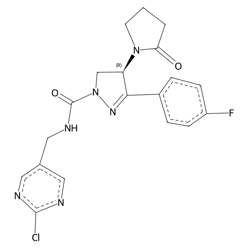 O=C(NCc1cnc(Cl)nc1)N1C[C@@H](N2CCCC2=O)C(c2ccc(F)cc2)=N1